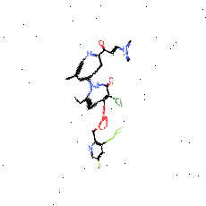 CC1=CN=C(C(=O)/C=C/N(C)C)C[C@H]1n1c(C)cc(OCc2ncc(F)cc2F)c(Cl)c1=O